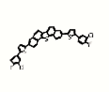 Fc1ccc(-c2ccc(-c3ccc4c(ccc5c6ccc7cc(-c8ccc(-c9ccc(F)c(Cl)c9)s8)ccc7c6sc45)c3)s2)cc1Cl